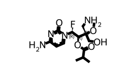 CO[C@](CN)(CO)[C@@H](OC(=O)C(C)C)[C@@H](F)n1ccc(N)nc1=O